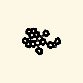 c1ccc(N2c3cc(-c4ccc5oc6ccccc6c5c4)cc4c3B(c3c2cc2ccc5cccc6ccc3c2c56)c2c(cc3ccc5cccc6ccc2c3c56)N4c2ccccc2)cc1